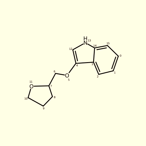 c1ccc2c(OCC3CCCO3)c[nH]c2c1